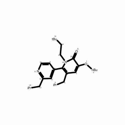 CCCCOc1cc(CC(C)C)c(-c2ccnc(CC(C)C)c2)n(CCC(C)(C)C)c1=O